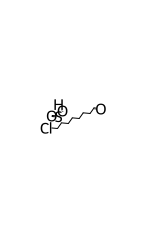 O=CCCCCCC(CCl)[SH](=O)=O